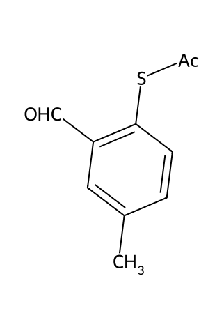 CC(=O)Sc1ccc(C)cc1C=O